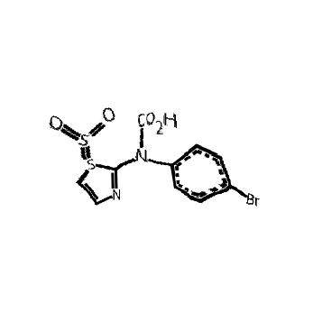 O=C(O)N(C1=NC=CS1=S(=O)=O)c1ccc(Br)cc1